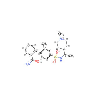 Cc1cc(S(=O)(=O)NC(C)C2CCN(C)CC2)ccc1-c1ccccc1C(N)=O